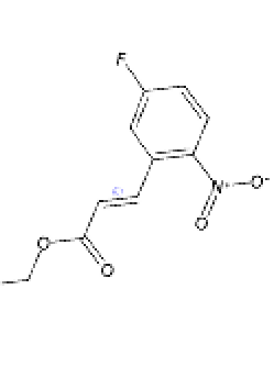 CCOC(=O)/C=C/c1cc(F)ccc1[N+](=O)[O-]